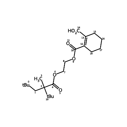 CC(C)(C)CC(C)(C(=O)OCCOC(=O)C1=C(C(=O)O)CCCC1)C(C)(C)C